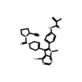 C=C(C)C(=O)Nc1ccc(-c2c(C3=CC[C@@H](C(=O)N4CCCC4C#N)CC3)c3c(N)ncnc3n2C)cc1